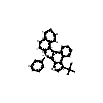 CC(C)(C)c1coc2c1c1ccccc1c1c3c4ccccc4ccc3n(-c3ccccc3)c21